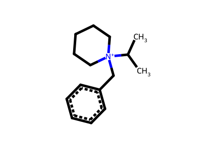 CC(C)[N+]1(Cc2ccccc2)CCCCC1